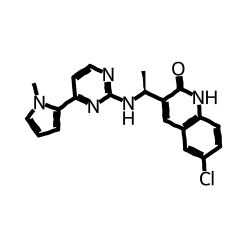 C[C@H](Nc1nccc(-c2cccn2C)n1)c1cc2cc(Cl)ccc2[nH]c1=O